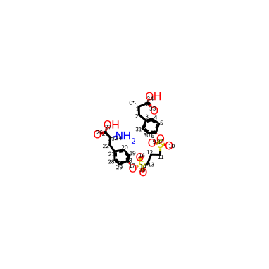 C[C@@H](Cc1ccc(OS(=O)(=O)CCCS(=O)(=O)Oc2ccc(C[C@H](N)C(=O)O)cc2)cc1)C(=O)O